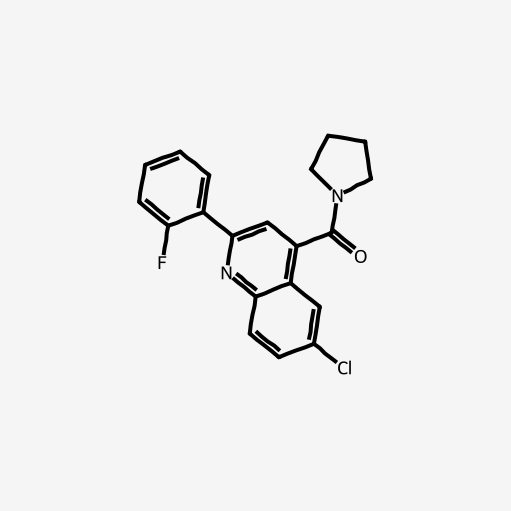 O=C(c1cc(-c2ccccc2F)nc2ccc(Cl)cc12)N1CCCC1